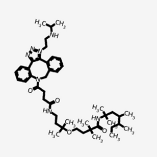 CCC(C)C(C)CC(C)(C)NC(=O)C(C)(C)CCOC(C)(C)CCNC(=O)CCC(=O)N1Cc2ccccc2-c2c(nnn2CCNC(C)C)-c2ccccc21